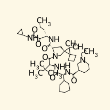 CCC[C@H](NC(=O)[C@@H]1C[C@@]2(CN1C(=O)[C@@H](NC(=O)[C@@H](NC(=O)[C@@H]1CCCN(CC)C1)C1CCCCC1)C(C)(C)C)C(C)(C)C21CCC1)C(=O)C(=O)NC1CC1